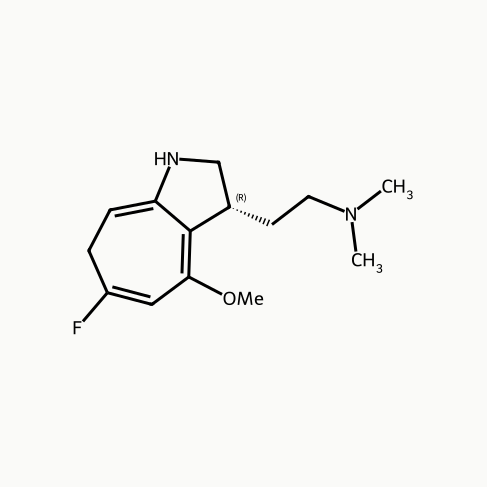 COC1=C2C(=CCC(F)=C1)NC[C@@H]2CCN(C)C